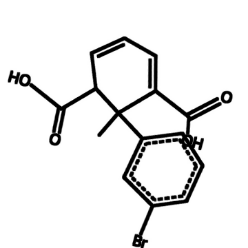 CC1(c2cccc(Br)c2)C(C(=O)O)=CC=CC1C(=O)O